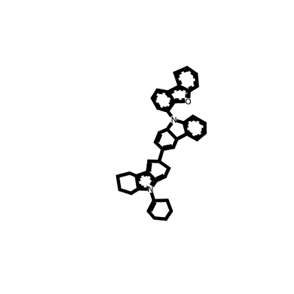 C1=CC2C(C=C1C1C=c3c4c(n(C5=CCCCC5)c3=CC1)CCCC4)c1ccccc1N2c1cccc2c1oc1ccccc12